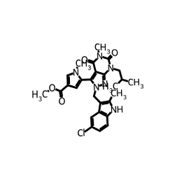 COC(=O)c1cc(-c2c3c(=O)n(C)c(=O)n(CC(C)C)c3nn2Cc2c(C)[nH]c3ccc(Cl)cc23)n(C)c1